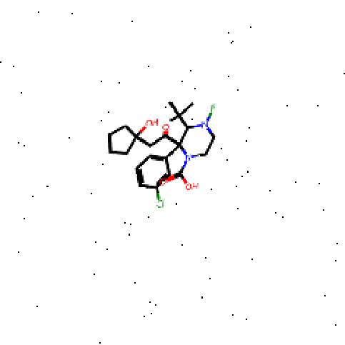 CC(C)(C)C1N(F)CCN(C(=O)O)C1(C(=O)CC1(O)CCCC1)c1cccc(Cl)c1